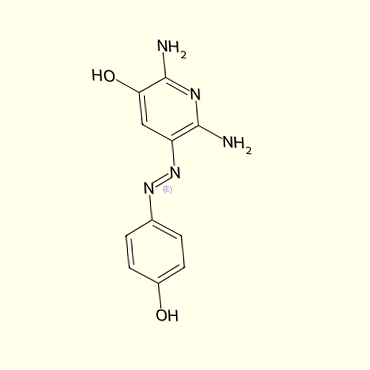 Nc1nc(N)c(/N=N/c2ccc(O)cc2)cc1O